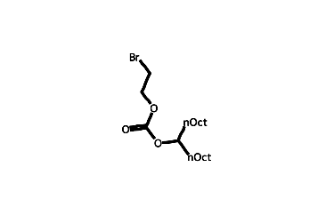 CCCCCCCCC(CCCCCCCC)OC(=O)OCCBr